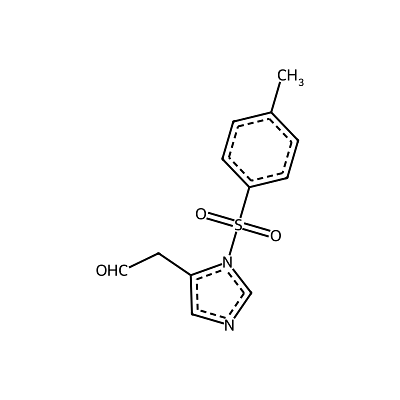 Cc1ccc(S(=O)(=O)n2cncc2CC=O)cc1